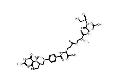 CN(CC1CNc2nc(N)[nH]c(=O)c2N1C)c1ccc(C(=O)N[C@@H](CCC(=O)NC[C@H](N)C(=O)N[C@@H](CC(=O)O)C(=O)N[C@H](C=O)CS)C(=O)O)cc1